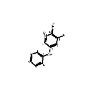 Cc1cc(Sc2ccccc2)cnc1F